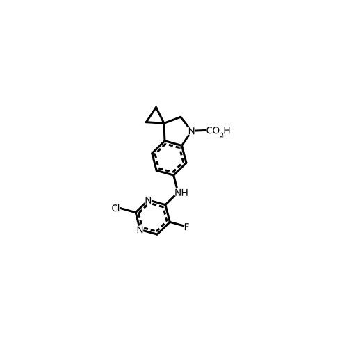 O=C(O)N1CC2(CC2)c2ccc(Nc3nc(Cl)ncc3F)cc21